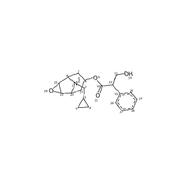 C[N+]1(CC2CC2)C2CC(OC(=O)C(CO)c3ccccc3)CC1C1OC12